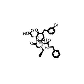 C#CCN1CC(=O)N2[C@@H](CC(=O)O)C(=O)C(Cc3cccc(Br)c3)C[C@@H]2N1C(=O)NCc1ccccc1